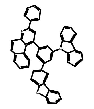 c1ccc(-c2cc(-c3cc(-c4ccc5oc6ccccc6c5c4)cc(-n4c5ccccc5c5ccccc54)c3)c3c(ccc4ccccc43)n2)cc1